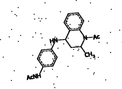 CC(=O)Nc1ccc(NC2CC(C)N(C(C)=O)c3ccccc32)cc1